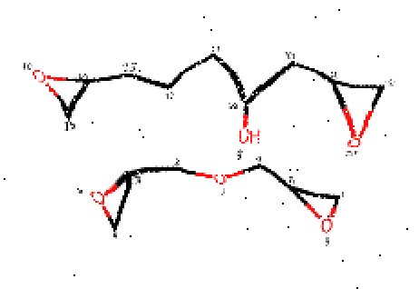 C(OCC1CO1)C1CO1.OC(CCCC1CO1)CC1CO1